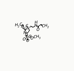 C=CCC1=NCC[N+]1(C)CCNC(=O)C=C.COOS(=O)(=O)[O-]